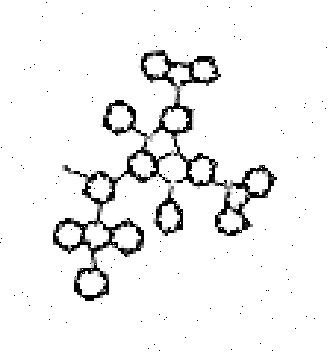 CC(C)c1cc(-c2cc3c4c(c2)N(c2ccccc2)c2cc(-n5c6ccccc6c6ccccc65)ccc2B4c2ccc(-n4c5ccccc5c5ccccc54)cc2N3c2ccccc2)cc(-c2c3ccccc3c(-c3ccccc3)c3ccccc23)c1